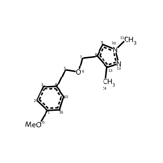 COc1ccc(COCc2cn(C)nc2C)cc1